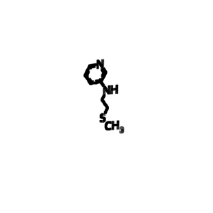 CSCCNc1cccnc1